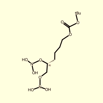 CC(C)(C)OC(=O)OCCCC[C@H](CON(O)O)ON(O)O